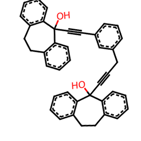 OC1(C#CCc2cccc(C#CC3(O)c4ccccc4CCc4ccccc43)c2)c2ccccc2CCc2ccccc21